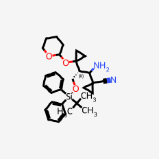 CC(C)(C)[Si](OC[C@@H](C(N)C1(C#N)CC1)C1(OC2CCCCO2)CC1)(c1ccccc1)c1ccccc1